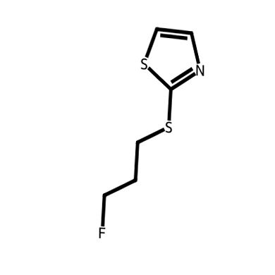 FCCCSc1nccs1